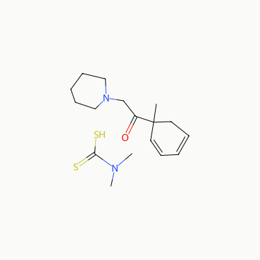 CC1(C(=O)CN2CCCCC2)C=CC=CC1.CN(C)C(=S)S